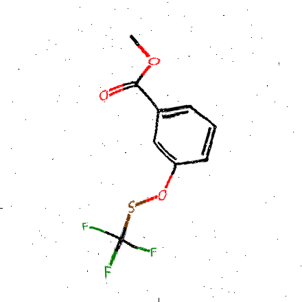 COC(=O)c1cccc(OSC(F)(F)F)c1